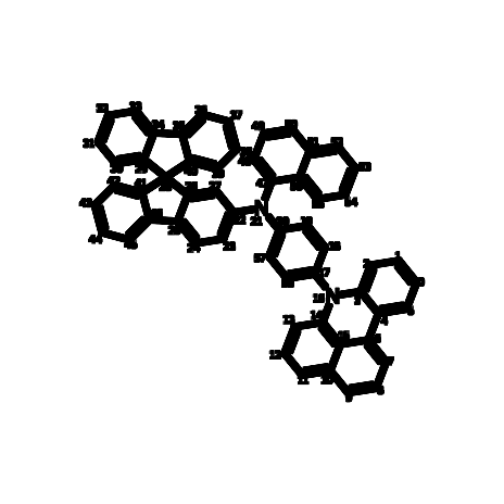 c1ccc2c(c1)-c1cccc3cccc(c13)N2c1ccc(N(c2ccc3c(c2)C2(c4ccccc4-c4ccccc42)c2ccccc2-3)c2cccc3ccccc23)cc1